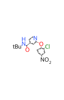 CC(C)(C)NC(=O)c1ccnc(Oc2ccc([N+](=O)[O-])cc2Cl)c1